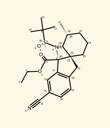 CCOC(=O)[C@]1(N[S@@+]([O-])C(C)(C)C)c2cc(C#N)ccc2C[C@@]12CCC[C@@H](C)C2